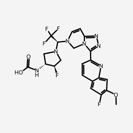 COc1cc2nc(-c3nnc4n3CN([C@@H](N3C[C@@H](F)[C@H](NC(=O)O)C3)C(F)(F)F)C=C4)ccc2cc1F